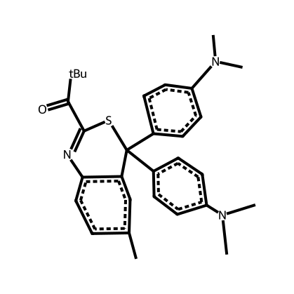 Cc1ccc2c(c1)C(c1ccc(N(C)C)cc1)(c1ccc(N(C)C)cc1)SC(C(=O)C(C)(C)C)=N2